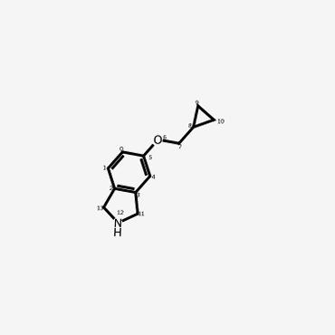 c1cc2c(cc1OCC1CC1)CNC2